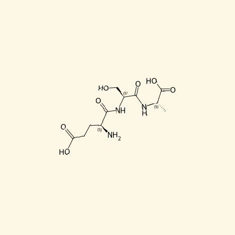 C[C@H](NC(=O)[C@H](CO)NC(=O)[C@@H](N)CCC(=O)O)C(=O)O